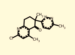 Cc1ccc(C2(C)CCc3nc(Cl)cc(C)c3C2=O)nn1